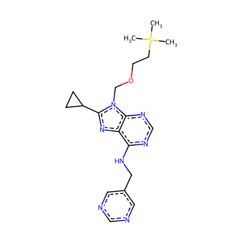 CS(C)(C)CCOCn1c(C2CC2)nc2c(NCc3cncnc3)ncnc21